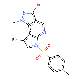 CCc1cn(S(=O)(=O)c2ccc(C)cc2)c2ncc3c(Br)nn(C)c3c12